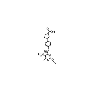 CCOc1nc(C)c(N)c(NCc2ccc(C3CCN(C(=O)O)C3)cc2)n1